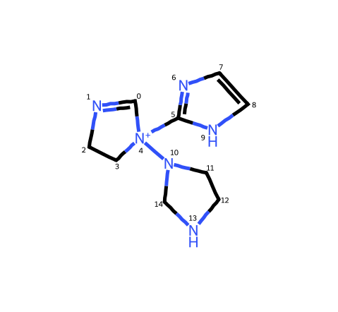 C1=NCC[N+]1(c1ncc[nH]1)N1CCNC1